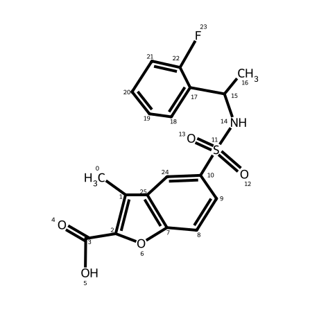 Cc1c(C(=O)O)oc2ccc(S(=O)(=O)NC(C)c3ccccc3F)cc12